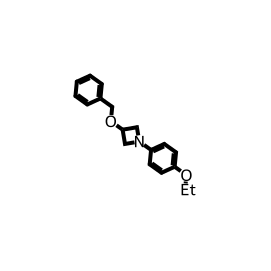 CCOc1ccc(N2CC(OCc3ccccc3)C2)cc1